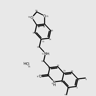 Cc1cc(C)c2[nH]c(=O)c(CNCc3ccc4c(c3)OCO4)cc2c1.Cl